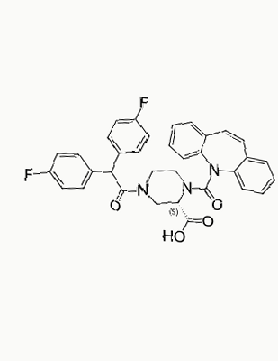 O=C(O)[C@@H]1CN(C(=O)C(c2ccc(F)cc2)c2ccc(F)cc2)CCN1C(=O)N1c2ccccc2C=Cc2ccccc21